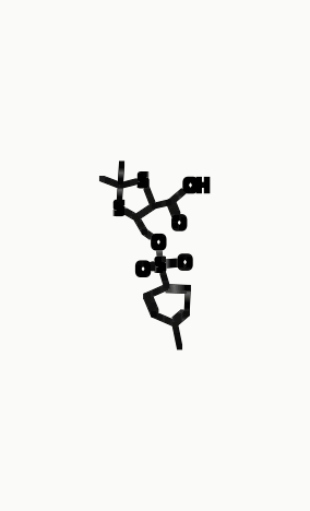 Cc1ccc(S(=O)(=O)OCC2SC(C)(C)SC2C(=O)O)cc1